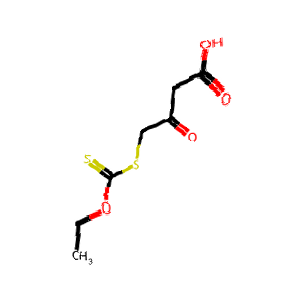 CCOC(=S)SCC(=O)CC(=O)O